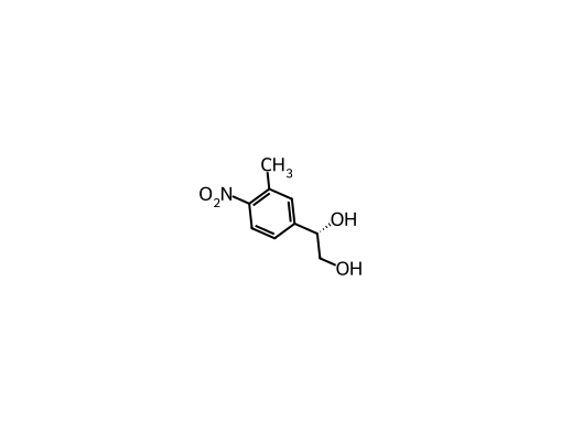 Cc1cc([C@H](O)CO)ccc1[N+](=O)[O-]